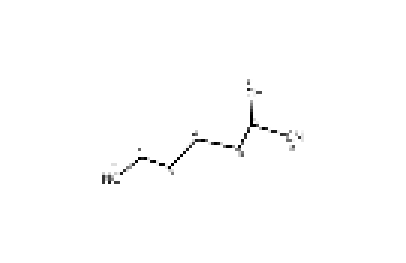 CC(C#N)C[CH]CCC#N